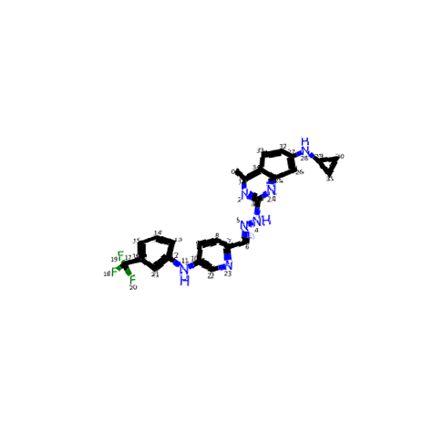 Cc1nc(N/N=C/c2ccc(Nc3cccc(C(F)(F)F)c3)cn2)nc2cc(NC3CC3)ccc12